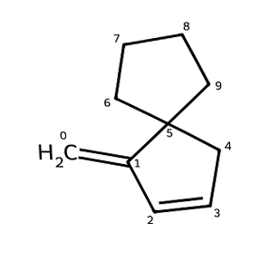 C=C1C=CCC12CCCC2